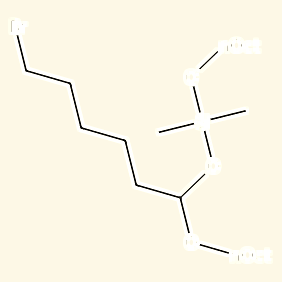 CCCCCCCCOC(CCCCCBr)O[Si](C)(C)OCCCCCCCC